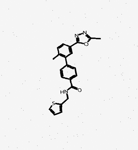 Cc1nnc(-c2ccc(C)c(-c3ccc(C(=O)NCc4cccs4)cc3)c2)o1